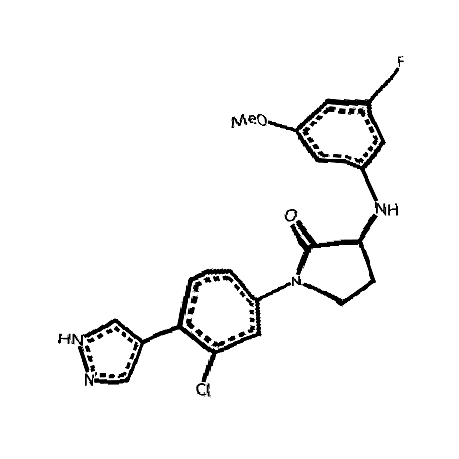 COc1cc(F)cc(NC2CCN(c3ccc(-c4cn[nH]c4)c(Cl)c3)C2=O)c1